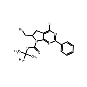 CC(C)(C)OC(=O)N1c2nc(-c3ccccc3)nc(Cl)c2CC1CBr